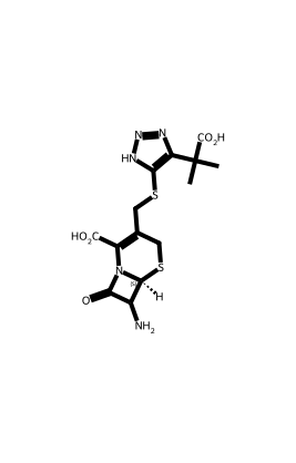 CC(C)(C(=O)O)c1nn[nH]c1SCC1=C(C(=O)O)N2C(=O)C(N)[C@@H]2SC1